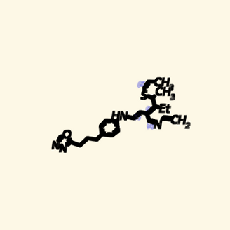 C=C\N=C/C(/C=C/Nc1ccc(CCCc2nnco2)cc1)=C(\CC)C(C)S/C=C\C